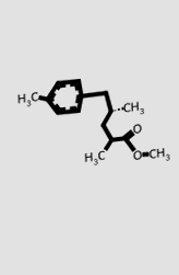 COC(=O)C(C)C[C@@H](C)Cc1ccc(C)cc1